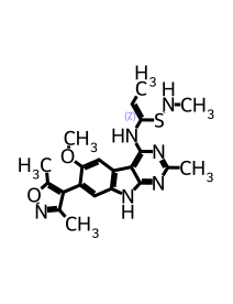 C/C=C(/Nc1nc(C)nc2[nH]c3cc(-c4c(C)noc4C)c(OC)cc3c12)SNC